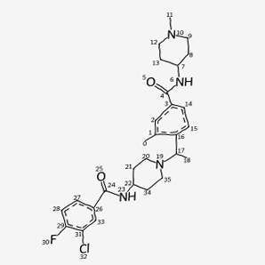 Cc1cc(C(=O)NC2CCN(C)CC2)ccc1C(C)N1CCC(NC(=O)c2ccc(F)c(Cl)c2)CC1